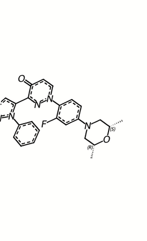 C[C@@H]1CN(c2ccc(-n3ccc(=O)c(-c4ccnn4-c4ccccc4)n3)c(F)c2)C[C@H](C)O1